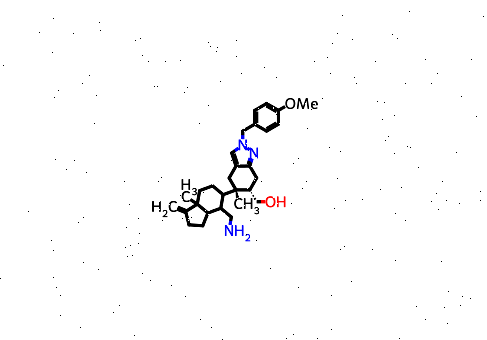 C=C1CCC2C(CN)C([C@]3(C)Cc4cn(Cc5ccc(OC)cc5)nc4C[C@@H]3CO)CCC12C